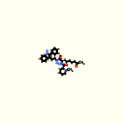 CC(=O)CCCCC[C@H](NC(=O)[C@@H]1CCCCN1C)C(=O)NCCc1c(-c2ccccc2)[nH]c2ccccc12